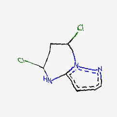 ClC1CC(Cl)n2nccc2N1